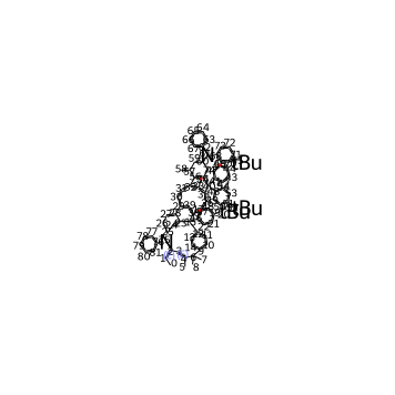 C/C=C1\C=C(/C)C(C)(C)c2ccc(cc2)C2(c3ccc(C(C)(C)C)cc3)C3=CC(CC=C3c3ccc4c(C)c(ccc2c3)C(c2ccc(C(C)(C)C)cc2)(c2ccc(C(C)(C)C)cc2)C2=C4C(C)CC(N(c3ccccc3)c3ccccc3)C2)N1c1ccccc1